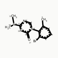 Cc1cccc(Br)c1-n1cnc(N(C)C)nc1=O